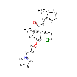 Cc1ccccc1C=CC(=O)c1c(C)cc(OCCCN2CCCC2)cc1C.Cl